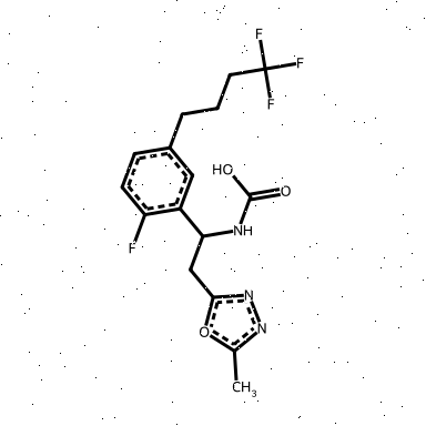 Cc1nnc(CC(NC(=O)O)c2cc(CCCC(F)(F)F)ccc2F)o1